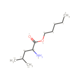 CCCCCOC(=O)C(N)CC(C)C